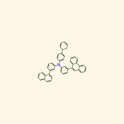 C1=CCC(c2ccc(N(c3cccc(-c4cccc5ccccc45)c3)c3cccc(-c4cc5ccccc5c5ccccc45)c3)cc2)C=C1